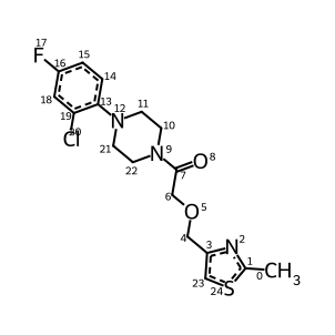 Cc1nc(COCC(=O)N2CCN(c3ccc(F)cc3Cl)CC2)cs1